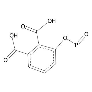 O=POc1cccc(C(=O)O)c1C(=O)O